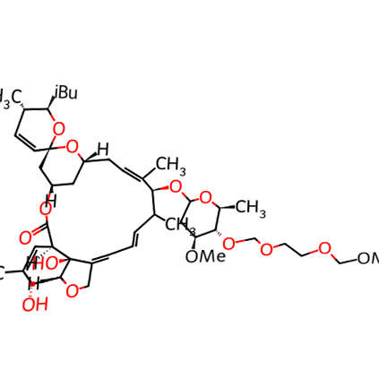 CCC(C)[C@H]1O[C@]2(C=C[C@@H]1C)C[C@@H]1C[C@@H](C/C=C(\C)[C@@H](OC3C[C@H](OC)[C@@H](OCOCCOCOC)[C@H](C)O3)C(C)/C=C/C=C3\CO[C@@H]4[C@H](O)C(C)=C[C@@H](C(=O)O1)[C@]34O)O2